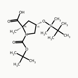 CC(C)(C)OC(=O)N1C[C@@H](O[Si](C)(C)C(C)(C)C)C[C@]1(C)C(=O)O